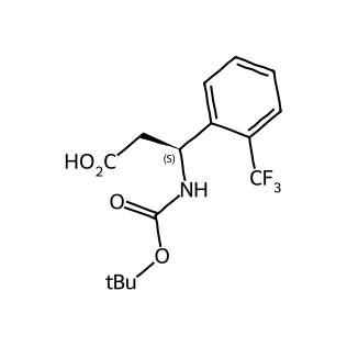 CC(C)(C)OC(=O)N[C@@H](CC(=O)O)c1ccccc1C(F)(F)F